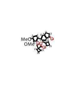 COc1ccc(-c2ccc3c(c2)CCC3=O)c(OCC2(C(=O)OCC3CCC3)CCC2)c1OC